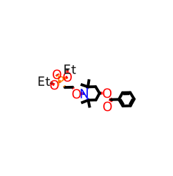 CCOP(=O)(CCON1C(C)(C)CC(OC(=O)c2ccccc2)CC1(C)C)OCC